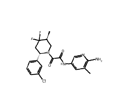 Cc1cc(NC(=O)C(=O)N2C[C@H](C)C(F)(F)C[C@H]2c2cccc(Cl)c2)cnc1N